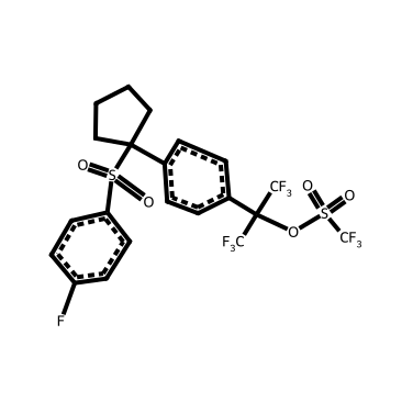 O=S(=O)(OC(c1ccc(C2(S(=O)(=O)c3ccc(F)cc3)CCCC2)cc1)(C(F)(F)F)C(F)(F)F)C(F)(F)F